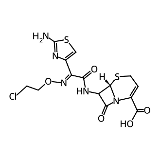 Nc1nc(C(=NOCCCl)C(=O)NC2C(=O)N3C(C(=O)O)=CCS[C@@H]23)cs1